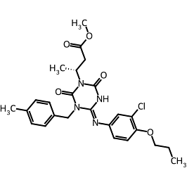 CCCOc1ccc(/N=c2\[nH]c(=O)n([C@H](C)CC(=O)OC)c(=O)n2Cc2ccc(C)cc2)cc1Cl